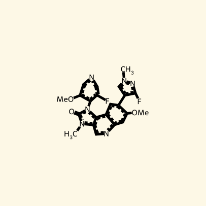 COc1cc2ncc3c(c2cc1-c1cn(C)nc1F)n(-c1c(F)cncc1OC)c(=O)n3C